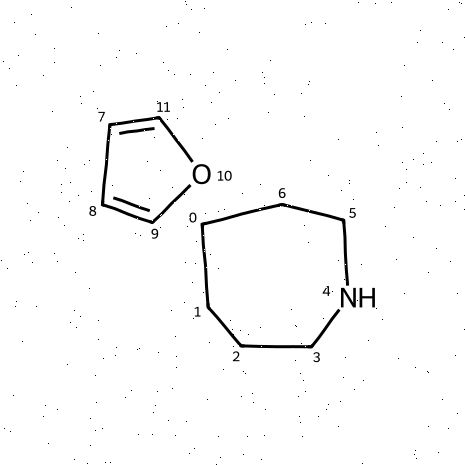 C1CCCNCC1.c1ccoc1